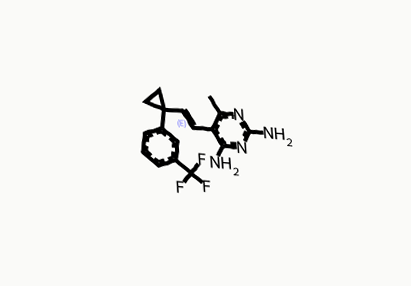 Cc1nc(N)nc(N)c1/C=C/C1(c2cccc(C(F)(F)F)c2)CC1